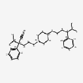 CC(C)C(CCCN1CCN(CCCC(C#N)(c2ccccc2)C(C)C)CC1)c1ccccc1